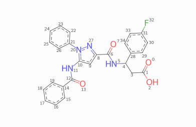 O=C(O)CC(NC(=O)c1cc(NC(=O)c2ccccc2)n(-c2ccccc2)n1)c1ccc(F)cc1